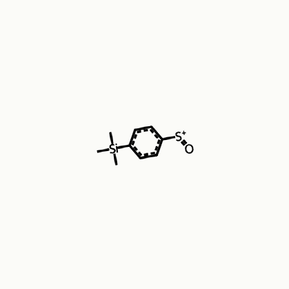 C[Si](C)(C)c1ccc([S+]=O)cc1